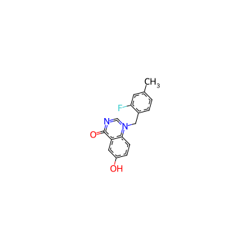 Cc1ccc(Cn2cnc(=O)c3cc(O)ccc32)c(F)c1